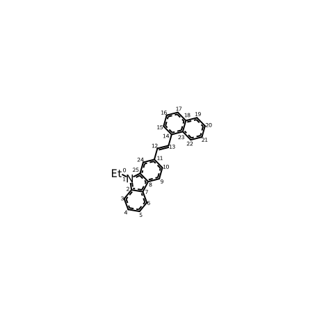 CCn1c2ccccc2c2ccc(C=Cc3cccc4ccccc34)cc21